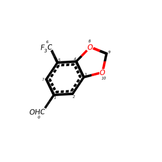 O=Cc1cc2c(c(C(F)(F)F)c1)OCO2